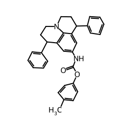 Cc1ccc(OC(=O)Nc2cc3c4c(c2)C(c2ccccc2)CCN4CCC3c2ccccc2)cc1